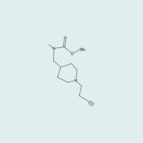 C#CCCN1CCC(CN(C)C(=O)OC(C)(C)C)CC1